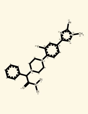 CCN(CC)C(=O)C(c1ccccc1)N1CCN(c2ccc(-c3nc(C(C)C)n(C)n3)cc2F)CC1